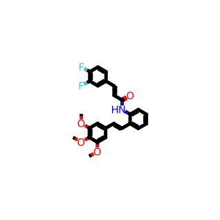 COc1cc(/C=C/c2ccccc2NC(=O)/C=C/c2ccc(F)c(F)c2)cc(OC)c1OC